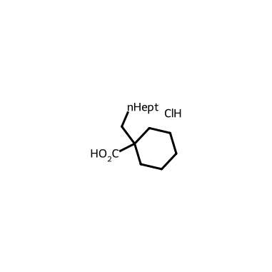 CCCCCCCCC1(C(=O)O)CCCCC1.Cl